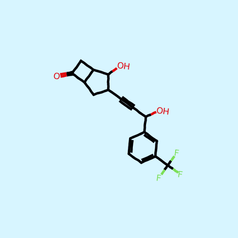 O=C1CC2C1CC(C#CC(O)c1cccc(C(F)(F)F)c1)C2O